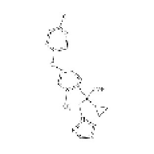 COC(Cn1cncn1)(c1ccc(Oc2ccc(Cl)cc2)cc1C(F)(F)F)C1CC1